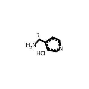 C[C@@H](N)c1ccncc1.Cl